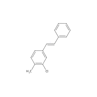 Cc1ccc(/C=C/c2ccccc2)cc1Cl